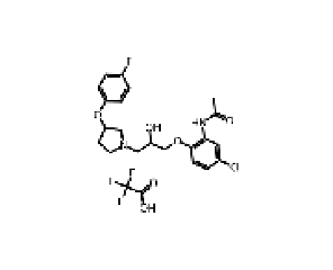 CC(=O)Nc1cc(Cl)ccc1OCC(O)CN1CCC(Oc2ccc(F)cc2)C1.O=C(O)C(F)(F)F